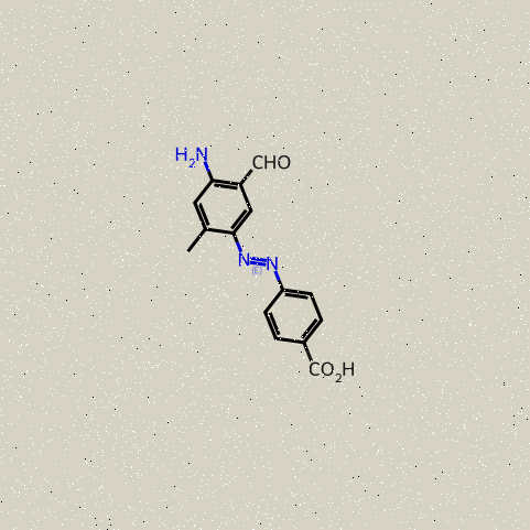 Cc1cc(N)c(C=O)cc1/N=N/c1ccc(C(=O)O)cc1